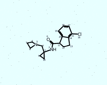 O=C(NC1(CN2CCC2)CC1)C1CCc2c(Cl)cccc21